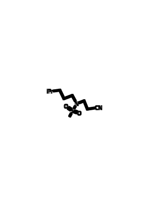 CC(C)CCCN(CCC#N)S(C)(=O)=O